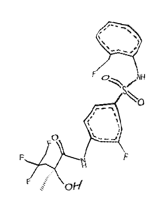 C[C@@](O)(C(=O)Nc1ccc(S(=O)(=O)Nc2ccccc2F)cc1F)C(F)(F)F